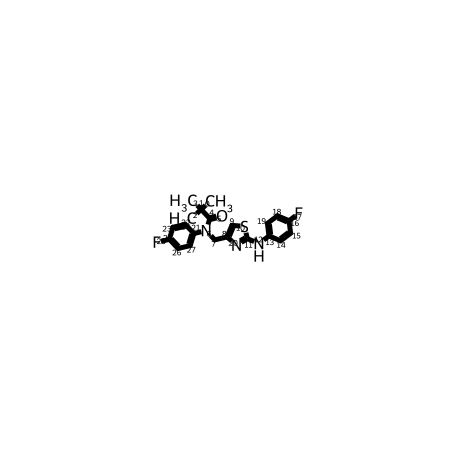 CC(C)(C)C(=O)N(Cc1csc(Nc2ccc(F)cc2)n1)c1ccc(F)cc1